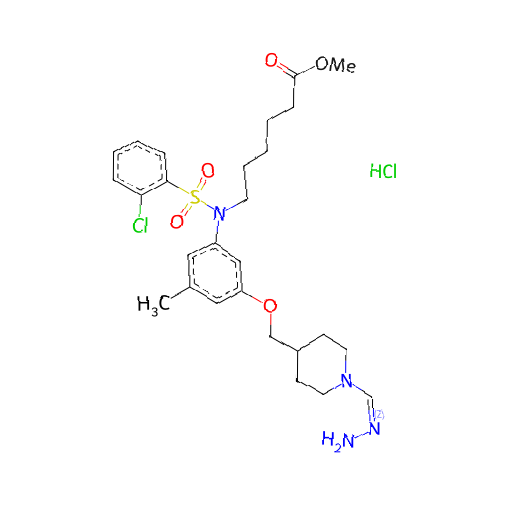 COC(=O)CCCCCN(c1cc(C)cc(OCC2CCN(/C=N\N)CC2)c1)S(=O)(=O)c1ccccc1Cl.Cl